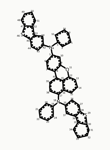 c1ccc(N(c2ccc3c(c2)Oc2cccc4c(N(c5ccccc5)c5ccc6sc7ccccc7c6c5)ccc-3c24)c2ccc3sc4ccccc4c3c2)cc1